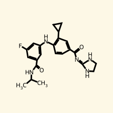 CC(C)NC(=O)c1cc(F)cc(Nc2ccc(C(=O)N=C3NCCN3)cc2C2CC2)c1